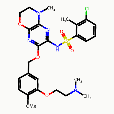 COc1ccc(COc2nc3c(nc2NS(=O)(=O)c2cccc(Cl)c2C)N(C)CCO3)cc1OCCN(C)C